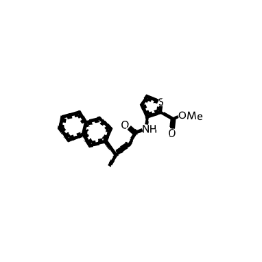 COC(=O)c1sccc1NC(=O)/C=C(/C)c1ccc2ccccc2c1